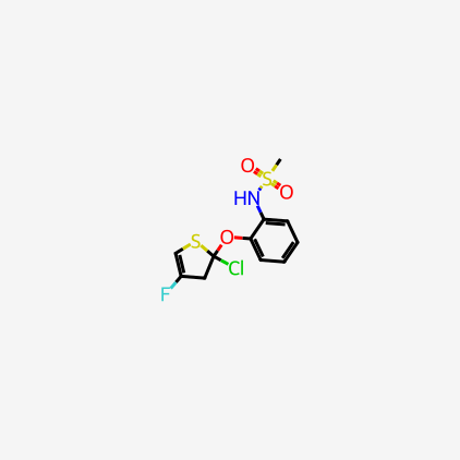 CS(=O)(=O)Nc1ccccc1OC1(Cl)CC(F)=CS1